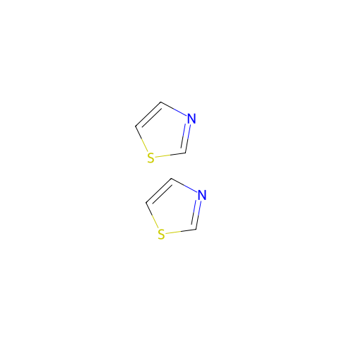 c1cscn1.c1cscn1